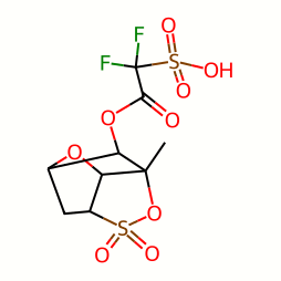 CC12OS(=O)(=O)C3CC(OC31)C2OC(=O)C(F)(F)S(=O)(=O)O